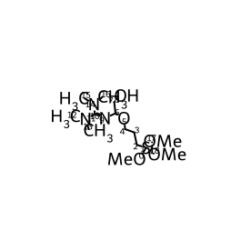 CO[Si](CCCOC(CO)N=C(N(C)C)N(C)C)(OC)OC